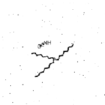 CCCCCCCCP(CCCCCCCC)CCCCCCCC.N=C=O